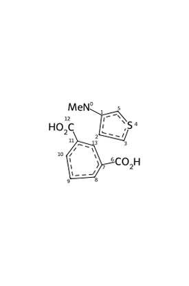 CNc1ccsc1.O=C(O)c1cccc(C(=O)O)c1